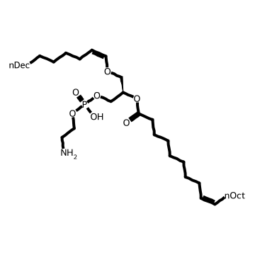 CCCCCCCC/C=C\CCCCCCCC(=O)O[C@H](CO/C=C\CCCCCCCCCCCCCC)COP(=O)(O)OCCN